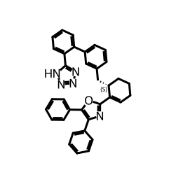 C1=C(c2nc(-c3ccccc3)c(-c3ccccc3)o2)[C@H](Cc2cccc(-c3ccccc3-c3nnn[nH]3)c2)CCC1